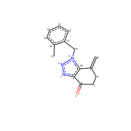 C=C1CCC(=O)c2nnn(Cc3ccccc3C)c21